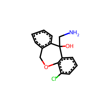 NCC1(O)c2ccccc2COc2c(Cl)cccc21